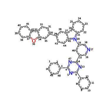 c1ccc(-c2nc(-c3ccccc3)nc(-c3cncc(-n4c5ccccc5c5cc(-c6ccc7c(c6)oc6ccccc67)ccc54)c3)n2)cc1